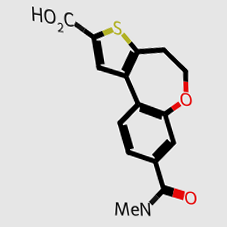 CNC(=O)c1ccc2c(c1)OCCc1sc(C(=O)O)cc1-2